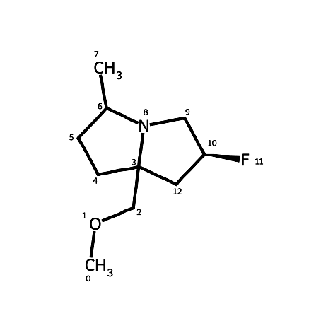 COCC12CCC(C)N1C[C@@H](F)C2